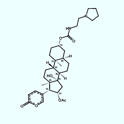 CC(=O)O[C@H]1C[C@]2(O)[C@@H]3CC[C@@H]4C[C@@H](OC(=O)NCCN5CCCC5)CC[C@]4(C)[C@H]3CC[C@]2(C)[C@H]1c1ccc(=O)oc1